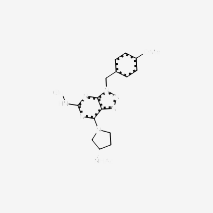 COc1ccc(Cn2nnc3c(N4CC[C@H](NC(C)=O)C4)nc(NC(C)(C)C)nc32)cc1